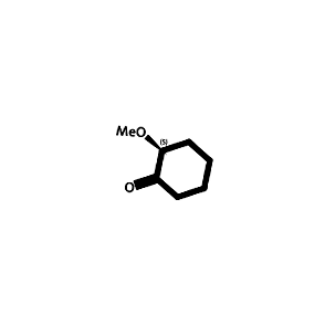 CO[C@H]1CCCCC1=O